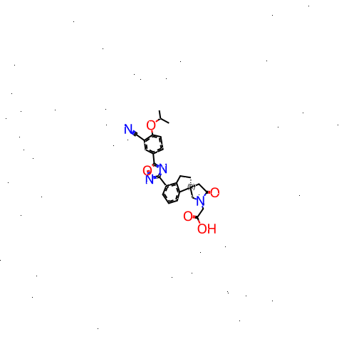 CC(C)Oc1ccc(-c2nc(-c3cccc4c3CC[C@@]43CC(=O)N(CC(=O)O)C3)no2)cc1C#N